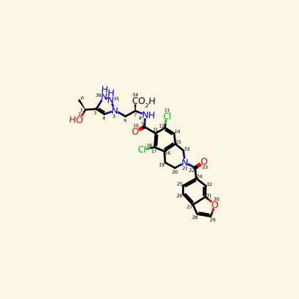 C[C@H](O)C1=CN(C[C@H](NC(=O)c2c(Cl)cc3c(c2Cl)CCN(C(=O)c2ccc4ccoc4c2)C3)C(=O)O)NN1